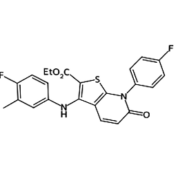 CCOC(=O)c1sc2c(ccc(=O)n2-c2ccc(F)cc2)c1Nc1ccc(F)c(C)c1